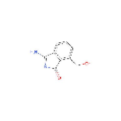 NC1=NC(=O)c2c(CO)cccc21